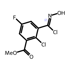 COC(=O)c1cc(F)cc(/C(Cl)=N/O)c1Cl